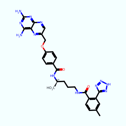 Cc1ccc(C(=O)NCCC[C@H](NC(=O)c2ccc(OCc3cnc4nc(N)nc(N)c4n3)cc2)C(=O)O)c(-c2nn[nH]n2)c1